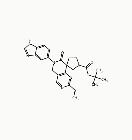 CSc1ncc2c(n1)C1(CCN(C(=O)OC(C)(C)C)C1)C(=O)N(c1ccc3[nH]cnc3c1)C2